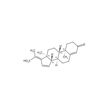 CC(C(=O)O)=C1C=C[C@H]2[C@@H]3CCC4=CC(=O)CC[C@]4(C)[C@H]3CC[C@]12C